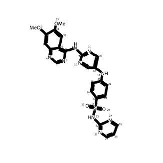 COc1cc2ncnc(Nc3ncc(Nc4ccc(S(=O)(=O)Nc5ncccn5)cc4)cn3)c2cc1OC